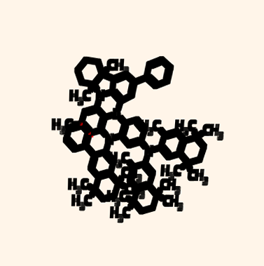 Cc1cc2c3c(c1)N1c4c(cc(-c5ccccc5)cc4C4(C)CCCCC14C)B3c1ccc(N(c3cc4c(cc3C)C(C)(C)CCC4(C)C)c3cc4c(cc3C)C(C)(C)CCC4(C)C)cc1N2c1cc2c(cc1-c1ccccc1)C(C)(C)CCC2(C)C